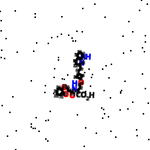 O=C(O)C(CCO[C@H]1C[C@H](CCc2ccc3c(n2)NCCC3)C1)NC(=O)C1COc2ccccc2O1